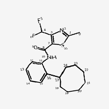 Cc1nc(C(F)F)c(C(=O)Nc2ccccc2C2CCCCCCC2)s1